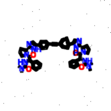 CN(C)C(=O)N[C@@H](C(=O)N1CCC[C@H]1c1ncc(-c2ccc(C#Cc3ccc(-c4cnc([C@@H]5CCCN5C(=O)[C@H](NC(=O)N(C)C)c5ccccc5)[nH]4)cc3)cc2)[nH]1)c1ccccc1